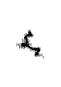 COc1ncc(-c2ccc3nccc(-c4ccc(COC(=O)CCCSSCC(NC(=O)CCC(=O)NCc5cc(C(=O)NCC(=O)N6CC(F)(F)C[C@H]6C#N)ccn5)C(=O)N[C@@H]5[C@@H](O)[C@H](C)C(O)O[C@H]5CO)nc4)c3c2)cc1N